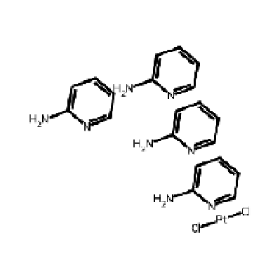 Nc1ccccn1.Nc1ccccn1.Nc1ccccn1.Nc1ccccn1.[Cl][Pt][Cl]